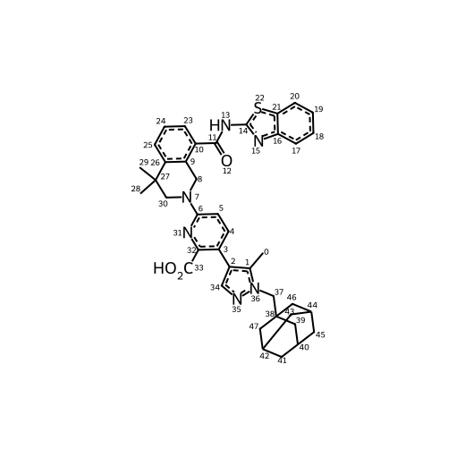 Cc1c(-c2ccc(N3Cc4c(C(=O)Nc5nc6ccccc6s5)cccc4C(C)(C)C3)nc2C(=O)O)cnn1CC12CC3CC(CC(C3)C1)C2